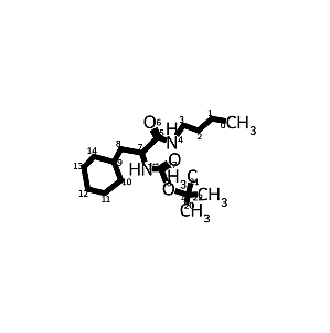 CCCCNC(=O)C(CC1CCCCC1)NC(=O)OC(C)(C)C